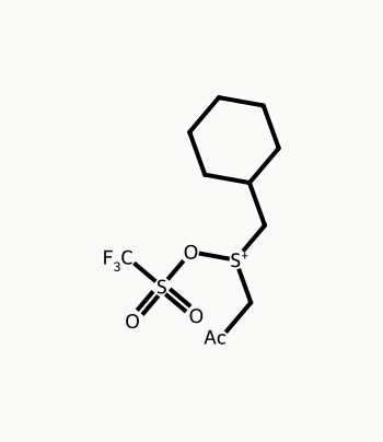 CC(=O)C[S+](CC1CCCCC1)OS(=O)(=O)C(F)(F)F